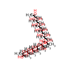 C=C(C)C(=O)O.CC(O)C(C)O.CC(O)C(C)O.CC(O)C(C)O.CC(O)C(C)O.CC(O)C(C)O.CC(O)C(C)O.CC(O)C(C)O.CC(O)C(C)O.CC(O)C(C)O.CC(O)C(C)O